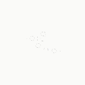 Nc1ccc(S(=O)(=O)N(C(=O)c2cc3c(cc2OC(=O)/C=C/c2ccc(O)c(CO)c2)OCO3)c2ccccn2)cc1